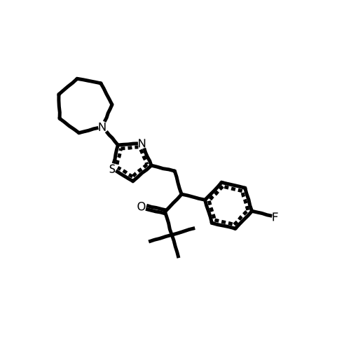 CC(C)(C)C(=O)C(Cc1csc(N2CCCCCC2)n1)c1ccc(F)cc1